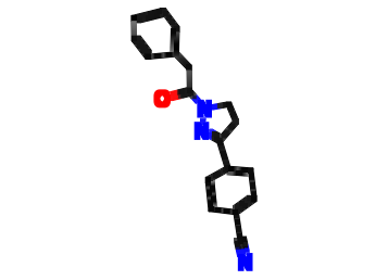 N#Cc1ccc(C2=NN(C(=O)Cc3ccccc3)CC2)cc1